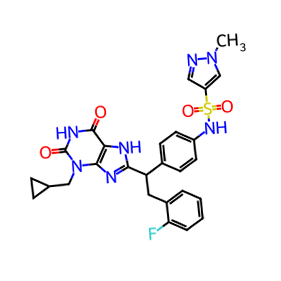 Cn1cc(S(=O)(=O)Nc2ccc(C(Cc3ccccc3F)c3nc4c([nH]3)c(=O)[nH]c(=O)n4CC3CC3)cc2)cn1